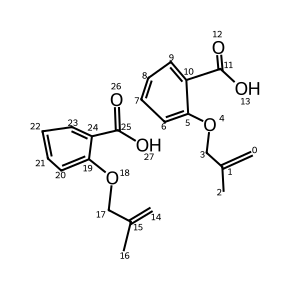 C=C(C)COc1ccccc1C(=O)O.C=C(C)COc1ccccc1C(=O)O